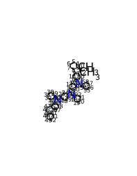 CC1(C)c2ccccc2-c2cc3c4ccc(N(c5ccccc5)c5ccc(-n6c7ccccc7c7c8c(ccc76)-c6ccccc6CC8)cc5)cc4n(-c4ccccc4)c3cc21